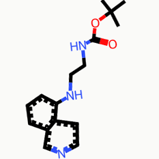 CC(C)(C)OC(=O)NCCNc1cccc2cnccc12